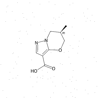 C[C@H]1COc2c(C(=O)O)cnn2C1